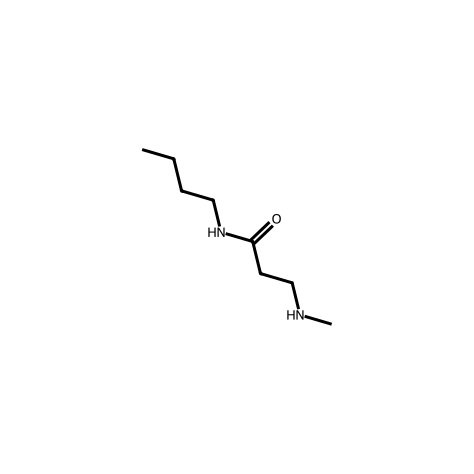 CCCCNC(=O)CCNC